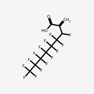 C=C(C(=O)O)C(F)C(F)(F)C(F)(F)C(F)(F)C(F)(F)C(F)(F)C(F)(F)F